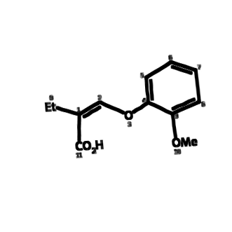 CCC(=COc1ccccc1OC)C(=O)O